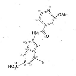 COc1cc(C(=O)Nc2nc3c(C)cc(C(=O)O)cc3s2)ccn1